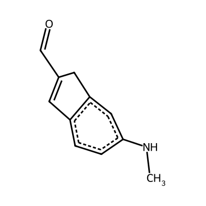 CNc1ccc2c(c1)CC(C=O)=C2